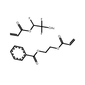 C=CC(=O)OC(F)C(F)(F)OC(C)=O.C=CC(=O)OCCOC(=O)c1ccccc1